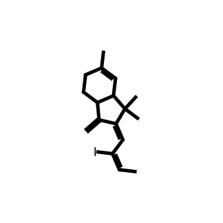 C=C1/C(=C\C(I)=C/C)C(C)(C)C2C=C(C)CCC12